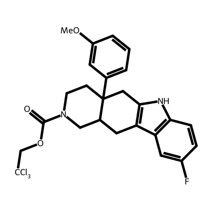 COc1cccc(C23CCN(C(=O)OCC(Cl)(Cl)Cl)CC2Cc2c([nH]c4ccc(F)cc24)C3)c1